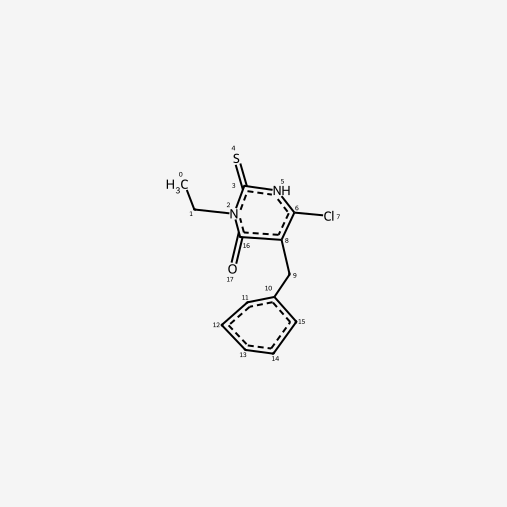 CCn1c(=S)[nH]c(Cl)c(Cc2ccccc2)c1=O